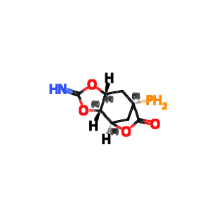 N=C1O[C@@H]2[C@@H](C[C@]3(P)C[C@H]2OC3=O)O1